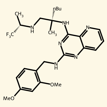 CCCC[C@](C)(CN[C@@H](C)C(F)(F)F)Nc1nc(NCc2ccc(OC)cc2OC)nc2cccnc12